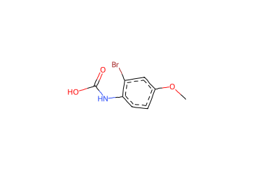 COc1ccc(NC(=O)O)c(Br)c1